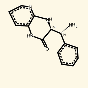 N[C@H](c1ccccc1)[C@@H]1Nc2ncccc2NC1=O